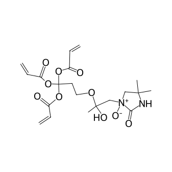 C=CC(=O)OC(CCOC(C)(O)C[N+]1([O-])CC(C)(C)NC1=O)(OC(=O)C=C)OC(=O)C=C